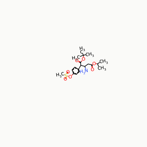 CC(C)OC(=O)CC(N)C(C(=O)OC(C)(C)C)c1ccc(OS(C)(=O)=O)cc1